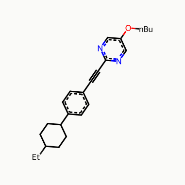 CCCCOc1cnc(C#Cc2ccc(C3CCC(CC)CC3)cc2)nc1